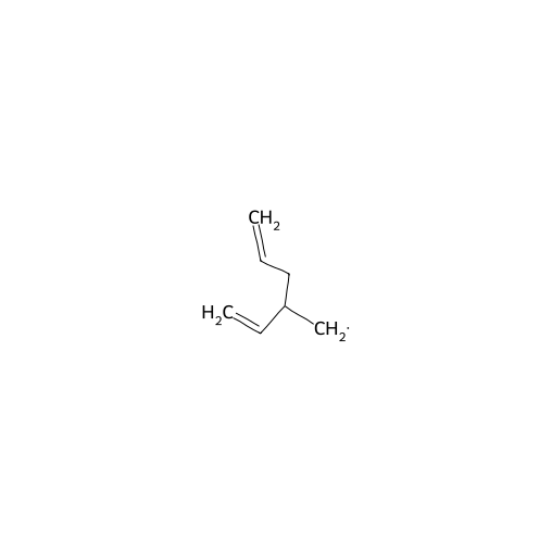 [CH2]C(C=C)CC=C